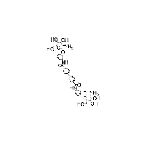 N[C@H]1[C@H](Oc2cccc(NC(=O)c3ccc(-c4ccc(C(=O)Nc5cccc(O[C@@H]6O[C@H](CO)[C@@H](O)[C@H](O)[C@H]6N)c5)cc4)cc3)c2)O[C@H](CO)[C@@H](O)[C@@H]1O